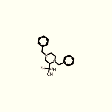 [2H]C([2H])(C#N)C1CN(Cc2ccccc2)CCN1Cc1ccccc1